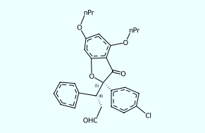 CCCOc1cc(OCCC)c2c(c1)O[C@](c1ccc(Cl)cc1)([C@H](CC=O)c1ccccc1)C2=O